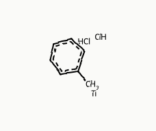 Cc1ccccc1.Cl.Cl.[Ti]